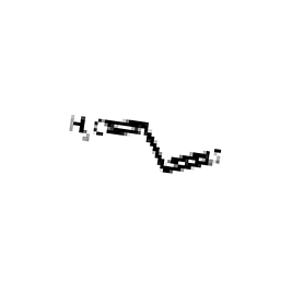 C=CC=S